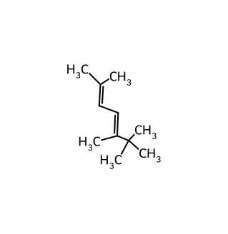 CC(C)=C/C=C(\C)C(C)(C)C